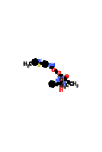 Cc1ccc2nc(-c3ccc(NCCOCCOCCNC(=O)[C@H](CC(C)C)NC(=O)[C@@H](O)[C@H](N)Cc4ccccc4)cc3)sc2c1